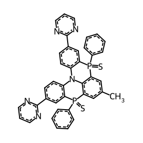 Cc1cc2c3c(c1)P(=S)(c1ccccc1)c1cc(-c4ncccn4)ccc1N3c1ccc(-c3ncccn3)cc1P2(=S)c1ccccc1